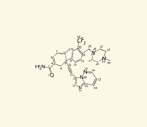 CC1=CC=C(C(N)=O)CC1(C#Cc1cnc2cccnn12)c1ccc(CN2CCN(C)CC2)c(C(F)(F)F)c1